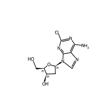 Nc1nc(Cl)nc2c1ncn2[C@H]1C[C@@H](O)[C@@H](CO)O1